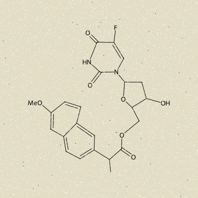 COc1ccc2cc(C(C)C(=O)OCC3OC(n4cc(F)c(=O)[nH]c4=O)CC3O)ccc2c1